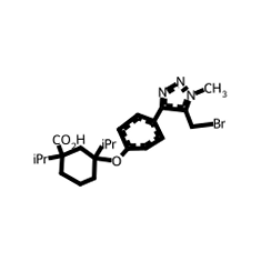 CC(C)C1(Oc2ccc(-c3nnn(C)c3CBr)cc2)CCCC(C(=O)O)(C(C)C)C1